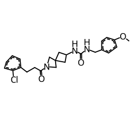 COc1ccc(CNC(=O)NC2CC3(C2)CN(C(=O)CCc2ccccc2Cl)C3)cc1